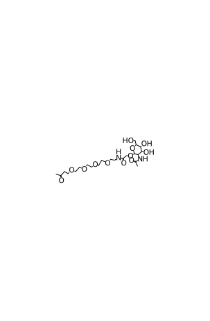 CC(=O)CCOCCOCCOCCOCCNC(=O)COC1OC(CO)C(O)C(O)C1NC(C)=O